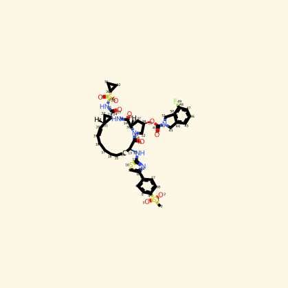 CS(=O)(=O)c1ccc(-c2csc(N[C@H]3CCCCC/C=C\[C@@H]4C[C@@]4(C(=O)NS(=O)(=O)C4CC4)NC(=O)[C@@H]4C[C@@H](OC(=O)N5Cc6cccc(F)c6C5)CN4C3=O)n2)cc1